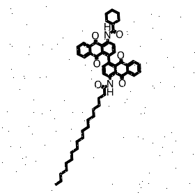 CCCCCCCCCCCCCCCCCCC(=O)Nc1ccc(-c2ccc(NC(=O)C3CCCCC3)c3c2C(=O)c2ccccc2C3=O)c2c1C(=O)c1ccccc1C2=O